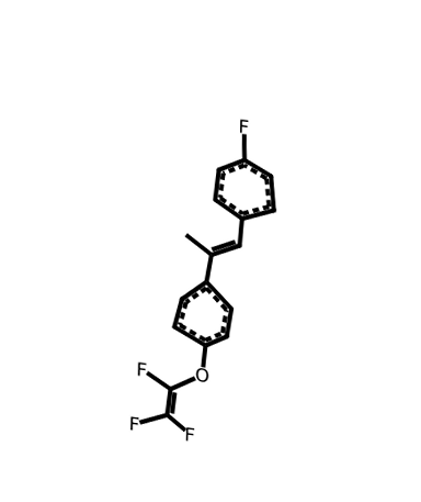 C/C(=C\c1ccc(F)cc1)c1ccc(OC(F)=C(F)F)cc1